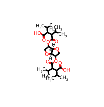 CC(C)C(C(=O)O)C(C(=O)OC1CO[C@@H]2C(OC(=O)C(C(C)C)C(C(=O)O)C(C)C)CO[C@H]12)C(C)C